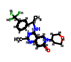 Cc1nc(N[C@H](C)c2cccc(C(F)(F)F)c2)c2cn(C3CCOCC3)c(=O)cc2n1